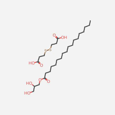 CCCCCCCCCCCCCCCCCC(=O)OCC(O)CO.O=C(O)CCSSCCC(=O)O